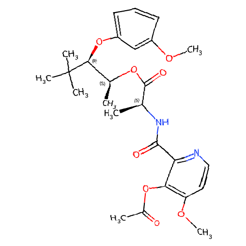 COc1cccc(O[C@@H]([C@H](C)OC(=O)[C@H](C)NC(=O)c2nccc(OC)c2OC(C)=O)C(C)(C)C)c1